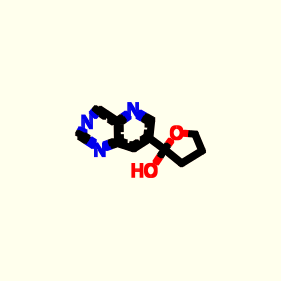 OC1(c2cnc3cncnc3c2)CCCO1